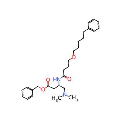 CN(C)C[C@@H](CC(=O)OCc1ccccc1)NC(=O)CCCOCCCCCc1ccccc1